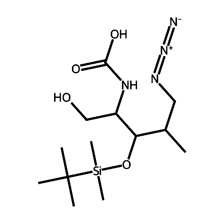 CC(CN=[N+]=[N-])C(O[Si](C)(C)C(C)(C)C)C(CO)NC(=O)O